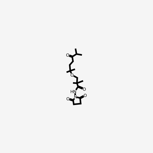 CC(C)C(=O)CCC(C)(C)OCC(C)(C)C(=O)NN1C(=O)CCC1=O